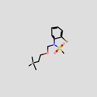 C[Si](C)(C)CCOCN(c1ccccc1Br)S(C)(=O)=O